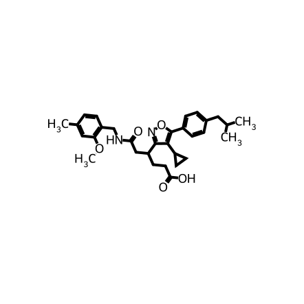 COc1cc(C)ccc1CNC(=O)CC(CCC(=O)O)c1noc(-c2ccc(CC(C)C)cc2)c1C1CC1